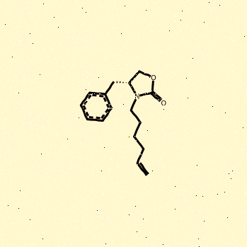 C=CCCCCN1C(=O)OC[C@H]1Cc1ccccc1